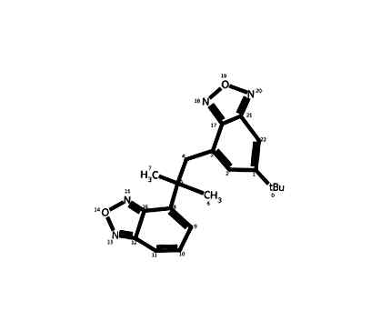 CC(C)(C)c1cc(CC(C)(C)c2cccc3nonc23)c2nonc2c1